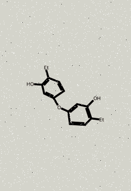 CCc1ccc(Oc2ccc(CC)c(O)c2)cc1O